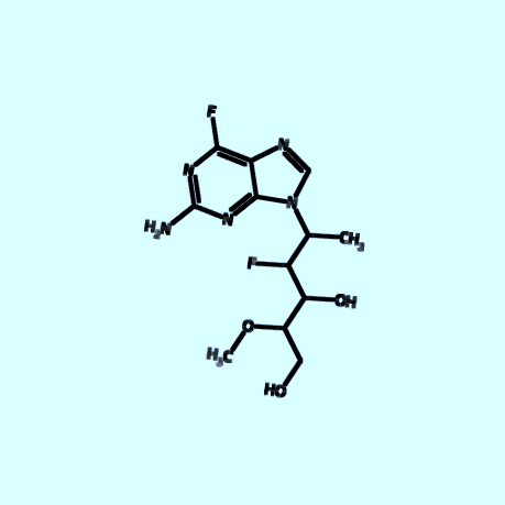 COC(CO)C(O)C(F)C(C)n1cnc2c(F)nc(N)nc21